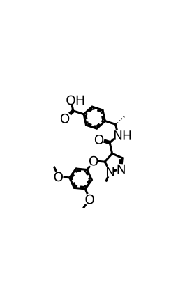 COc1cc(OC)cc(OC2C(C(=O)N[C@@H](C)c3ccc(C(=O)O)cc3)C=NN2C)c1